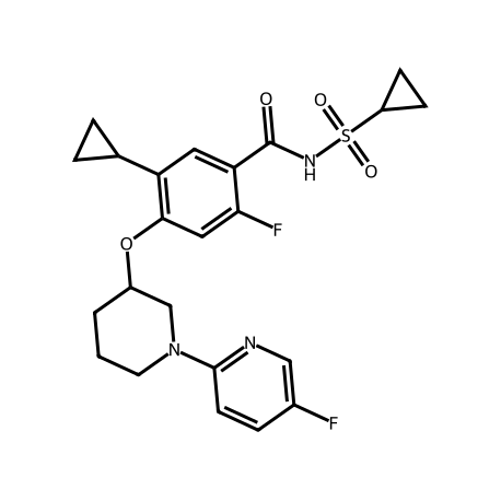 O=C(NS(=O)(=O)C1CC1)c1cc(C2CC2)c(OC2CCCN(c3ccc(F)cn3)C2)cc1F